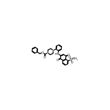 NS(=O)(=O)c1cccc2c1C(=O)C=C(Nc1ccccc1N1CCN(C(=O)OCc3ccccc3)CC1)C2=O